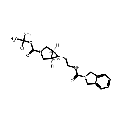 CC(C)(C)OC(=O)N1C[C@@H]2[C@@H](CCNC(=O)N3Cc4ccccc4C3)[C@@H]2C1